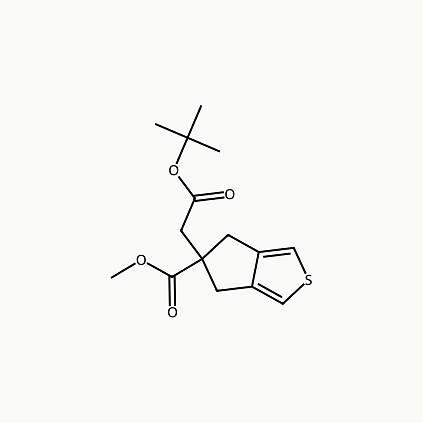 COC(=O)C1(CC(=O)OC(C)(C)C)Cc2cscc2C1